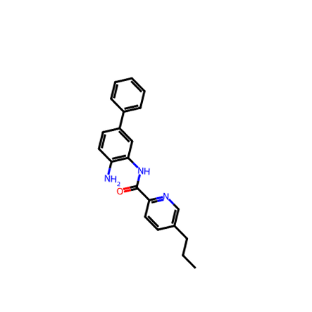 CCCc1ccc(C(=O)Nc2cc(-c3ccccc3)ccc2N)nc1